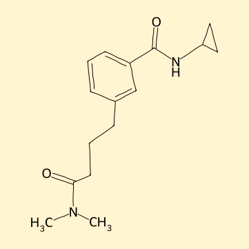 CN(C)C(=O)CCCc1cccc(C(=O)NC2CC2)c1